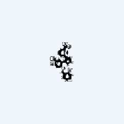 O=C([O-])c1cccc(C2=C(c3cc(Cl)ccc3OCc3ccccc3Br)CCC2)n1.[Na+]